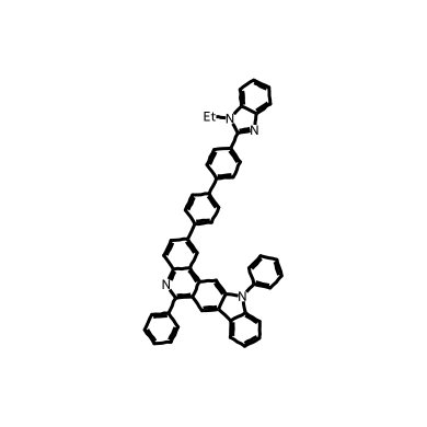 CCn1c(-c2ccc(-c3ccc(-c4ccc5nc(-c6ccccc6)c6cc7c8ccccc8n(-c8ccccc8)c7cc6c5c4)cc3)cc2)nc2ccccc21